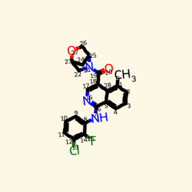 Cc1cccc2c(Nc3cccc(Cl)c3F)ncc(C(=O)N3CC4CC3CO4)c12